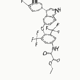 CCOC(=O)C(=O)Nc1cc(C(F)(F)F)c(Oc2ccc3[nH]cc(-c4ccc(F)cc4)c3c2)c(C(F)(F)F)c1